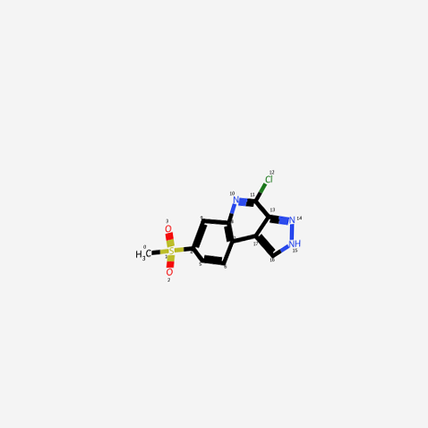 CS(=O)(=O)c1ccc2c(c1)nc(Cl)c1n[nH]cc12